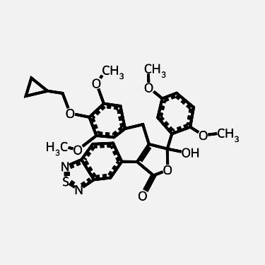 COc1ccc(OC)c(C2(O)OC(=O)C(c3ccc4nsnc4c3)=C2Cc2cc(OC)c(OCC3CC3)c(OC)c2)c1